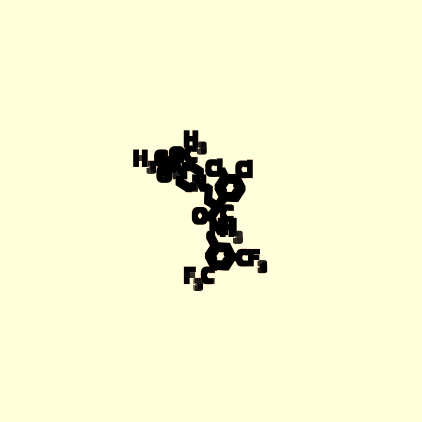 C[C@@H]1CN(CCC(C)(C(=O)NCc2cc(C(F)(F)F)cc(C(F)(F)F)c2)c2ccc(Cl)c(Cl)c2)CCN1S(C)(=O)=O